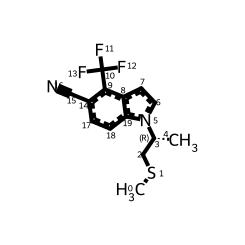 CSC[C@@H](C)n1ccc2c(C(F)(F)F)c(C#N)ccc21